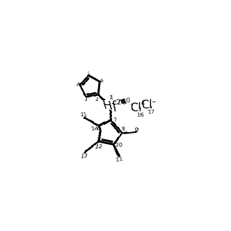 [CH2]=[Hf+2]([C]1=CC=CC1)[C]1=C(C)C(C)=C(C)C1C.[Cl-].[Cl-]